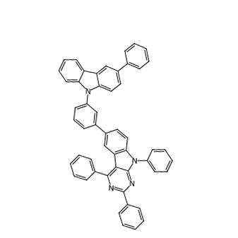 c1ccc(-c2ccc3c(c2)c2ccccc2n3-c2cccc(-c3ccc4c(c3)c3c(-c5ccccc5)nc(-c5ccccc5)nc3n4-c3ccccc3)c2)cc1